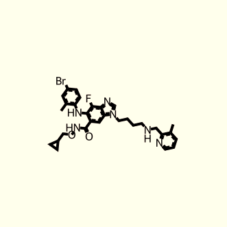 Cc1cc(Br)ccc1Nc1c(C(=O)NOCC2CC2)cc2c(ncn2CCCCNCc2ncccc2C)c1F